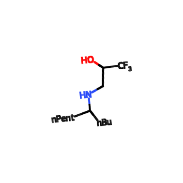 CCCCCC(CCCC)NCC(O)C(F)(F)F